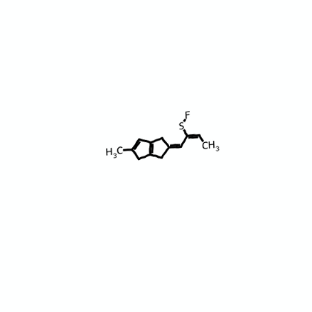 C/C=C(\C=C1/CC2=C(CC(C)=C2)C1)SF